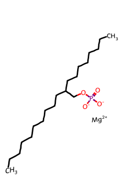 CCCCCCCCCCC(CCCCCCCC)COP(=O)([O-])[O-].[Mg+2]